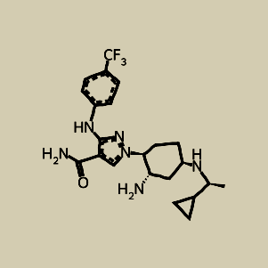 C[C@H](N[C@@H]1CC[C@H](n2cc(C(N)=O)c(Nc3ccc(C(F)(F)F)cc3)n2)[C@@H](N)C1)C1CC1